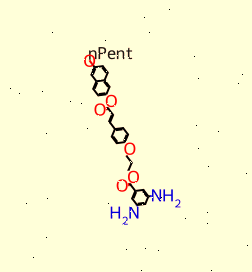 CCCCCOc1ccc2cc(OC(=O)/C=C/c3ccc(OCCCOC(=O)c4cc(N)cc(N)c4)cc3)ccc2c1